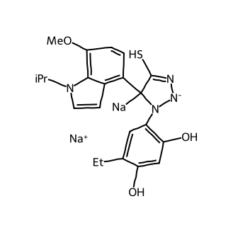 CCc1cc(N2[N-]N=C(S)[C]2([Na])c2ccc(OC)c3c2ccn3C(C)C)c(O)cc1O.[Na+]